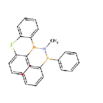 CN(P(c1ccccc1)c1ccccc1)P(c1ccccc1F)c1ccccc1F